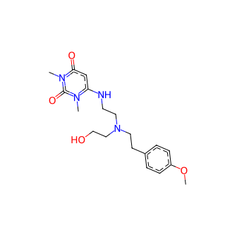 COc1ccc(CCN(CCO)CCNc2cc(=O)n(C)c(=O)n2C)cc1